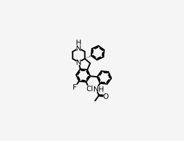 CC(=O)Nc1ccccc1-c1c(Cl)c(F)cc2c1C[C@]1(c3ccccc3)CNCCN21